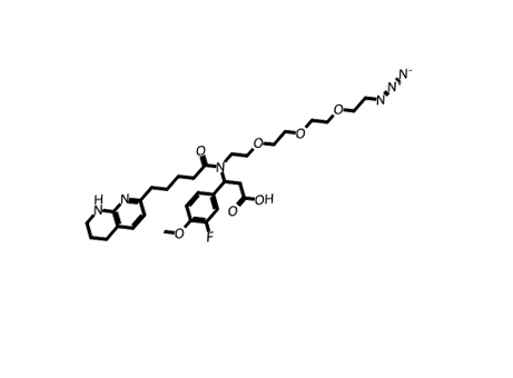 COc1ccc(C(CC(=O)O)N(CCOCCOCCOCCN=[N+]=[N-])C(=O)CCCCc2ccc3c(n2)NCCC3)cc1F